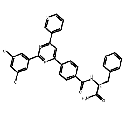 NC(=O)[C@H](Cc1ccccc1)NC(=O)c1ccc(-c2cc(-c3cccnc3)nc(-c3cc(Cl)cc(Cl)c3)n2)cc1